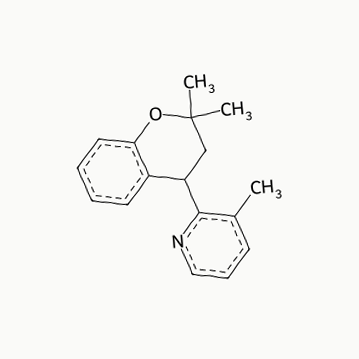 Cc1cccnc1C1CC(C)(C)Oc2ccccc21